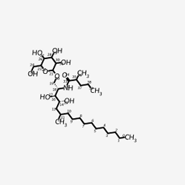 CCCCCCCCCCCC(C)C[C@@H](O)[C@@H](O)[C@H](COC1OC(CO)C(O)C(O)C1O)NC(=O)C(C)CCC